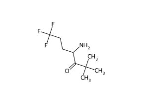 CC(C)(C)C(=O)C(N)CCC(F)(F)F